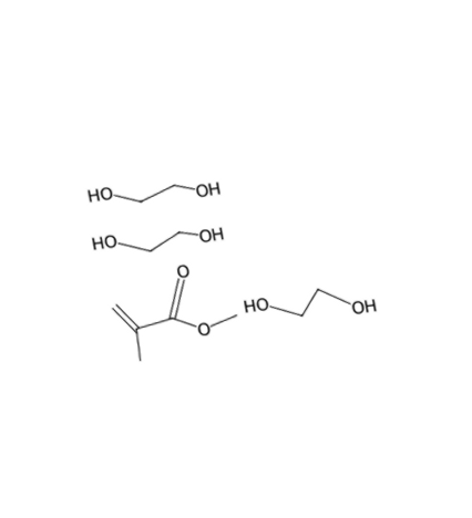 C=C(C)C(=O)OC.OCCO.OCCO.OCCO